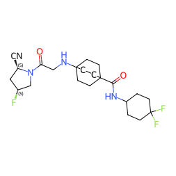 N#C[C@@H]1C[C@H](F)CN1C(=O)CNC12CCC(C(=O)NC3CCC(F)(F)CC3)(CC1)CC2